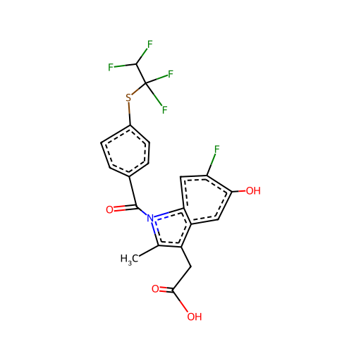 Cc1c(CC(=O)O)c2cc(O)c(F)cc2n1C(=O)c1ccc(SC(F)(F)C(F)F)cc1